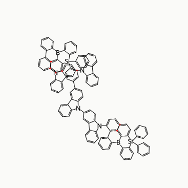 c1ccc([Si]2(c3ccc(-c4ccc5c(c4)c4ccccc4n5-c4ccc5c(c4)c4ccccc4n5-c4ccccc4-c4ccccc4B4c5ccccc5[Si](c5ccccc5)(c5ccccc5)c5ccccc54)cc3)c3ccccc3B(c3ccccc3-c3cccc(-n4c5ccccc5c5cc(-n6c7ccccc7c7ccccc76)ccc54)c3)c3ccccc32)cc1